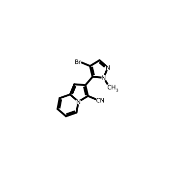 Cn1ncc(Br)c1-c1cc2ccccn2c1C#N